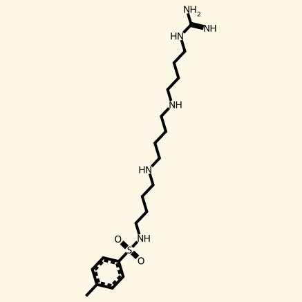 Cc1ccc(S(=O)(=O)NCCCCNCCCCNCCCCNC(=N)N)cc1